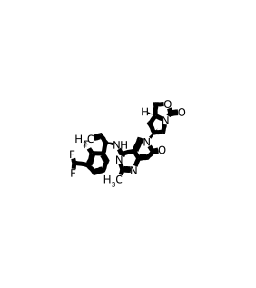 C=C[C@@H](Nc1nc(C)nc2cc(=O)n([C@H]3C[C@H]4COC(=O)N4C3)cc12)c1cccc(C(F)F)c1F